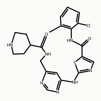 Cc1cccc(Cl)c1NC(=O)c1cnc(Nc2cc(CNC(=O)C3CCNCC3)ncn2)s1